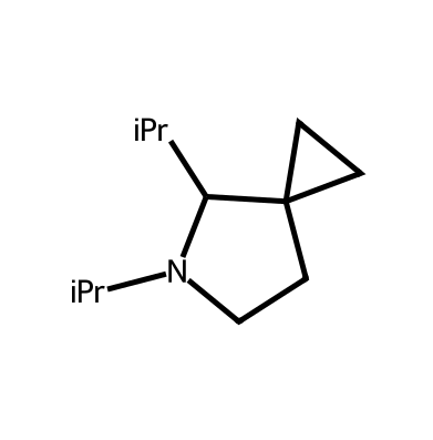 CC(C)C1N(C(C)C)CCC12CC2